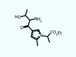 CCOC(=O)C(C)n1cc(C(=O)C(N)C(C)O)cc1C